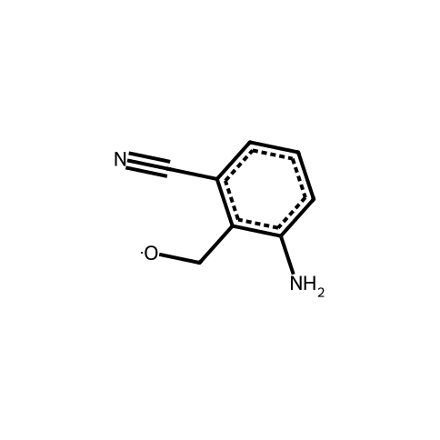 N#Cc1cccc(N)c1C[O]